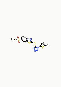 Cc1ccc(-n2nnnc2Sc2nc3ccc(S(C)(=O)=O)cc3s2)s1